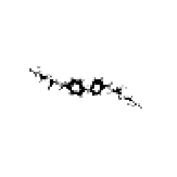 CCOC(=S)SSc1ccc(-c2ccc(SSC(=S)OCC)cc2)cc1